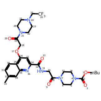 CCCCOC(=O)N1CCN(C(=O)CNC(=O)c2cc(OCC(=O)N3CCN(CC(F)(F)F)CC3)c3ccc(C)cc3n2)CC1